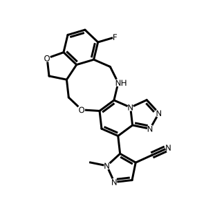 Cn1ncc(C#N)c1-c1cc2c(n3cnnc13)NCc1c(F)ccc3c1C(CO3)CO2